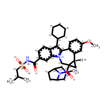 COc1ccc2c(c1)[C@@H]1CC1(C(=O)N1C3CCC1CN(C)C3)Cn1c-2c(C2CCCCC2)c2ccc(C(=O)NS(=O)(=O)CC(C)C)cc21